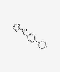 c1csc(NCc2ccc(N3CCOCC3)cc2)n1